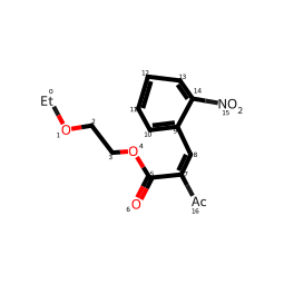 CCOCCOC(=O)C(=Cc1ccccc1[N+](=O)[O-])C(C)=O